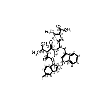 Cc1oc([C@@H](Cc2cn(C)c3ccccc23)NC(=O)[C@@H](C(=O)On2ccc3cc(F)ccc32)C(C)C)nc1C(=O)O